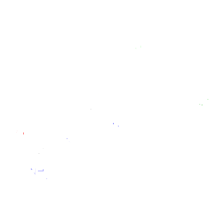 CC(NC(N)=O)c1nc2cc(Br)cc(Br)c2s1